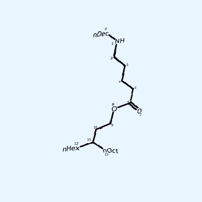 CCCCCCCCCCNCCCCC(=O)OCCC(CCCCCC)CCCCCCCC